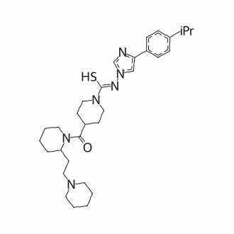 CC(C)c1ccc(-c2cn(/N=C(\S)N3CCC(C(=O)N4CCCCC4CCN4CCCCC4)CC3)cn2)cc1